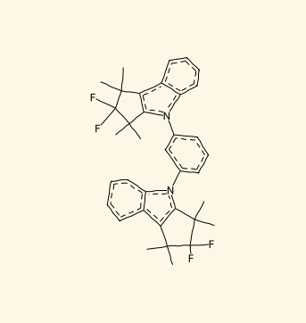 CC1(C)c2c(n(-c3cccc(-n4c5c(c6ccccc64)C(C)(C)C(F)(F)C5(C)C)c3)c3ccccc23)C(C)(C)C1(F)F